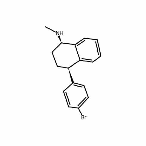 CN[C@@H]1CC[C@H](c2ccc(Br)cc2)c2ccccc21